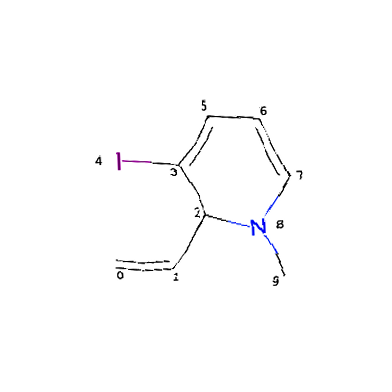 C=CC1C(I)=CC=CN1C